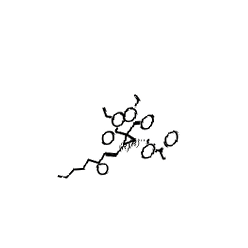 CCCCCC(=O)C=C[C@@H]1[C@@H](COC(C)=O)C1(C(=O)OCC)C(=O)OCC